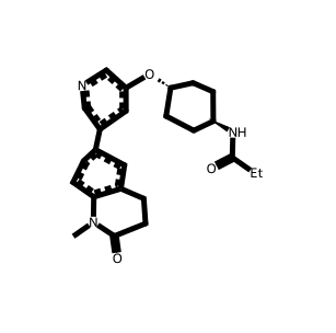 CCC(=O)N[C@H]1CC[C@H](Oc2cncc(-c3ccc4c(c3)CCC(=O)N4C)c2)CC1